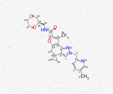 Cc1ccc(Cn2cc3c(n2)-c2c(oc(C(=O)NC[C@@H]4COCCO4)c2C(F)(F)F)CC32CC2)nc1